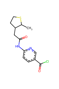 CC1SCCC1CC(=O)Nc1ccc(C(=O)Cl)cn1